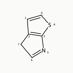 [c]1cc2c(s1)N=CC2